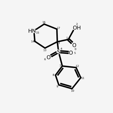 O=C(O)C1(S(=O)(=O)c2ccccc2)CCNCC1